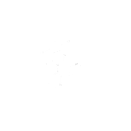 CC(N)c1nc2c(Cl)ccc(Cl)c2c(=O)n1-c1cccnc1